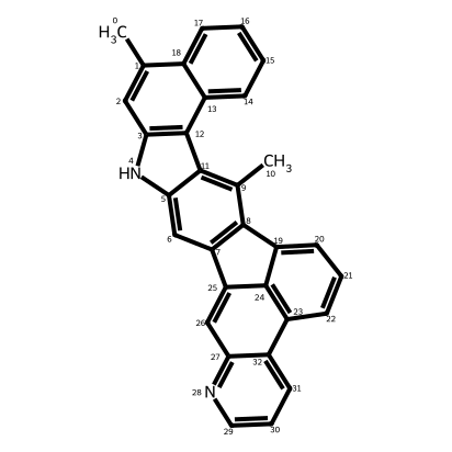 Cc1cc2[nH]c3cc4c(c(C)c3c2c2ccccc12)-c1cccc2c1c-4cc1ncccc12